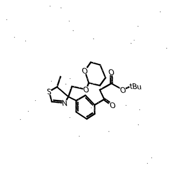 CC1SC=NC1(COC1CCCCO1)c1cccc(C(=O)CC(=O)OC(C)(C)C)c1